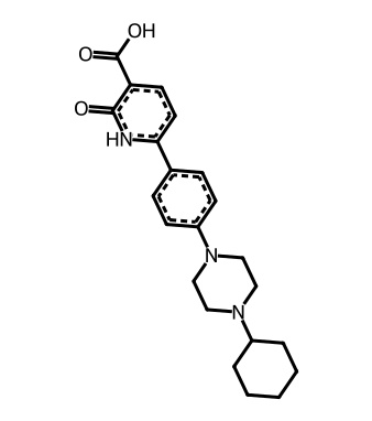 O=C(O)c1ccc(-c2ccc(N3CCN(C4CCCCC4)CC3)cc2)[nH]c1=O